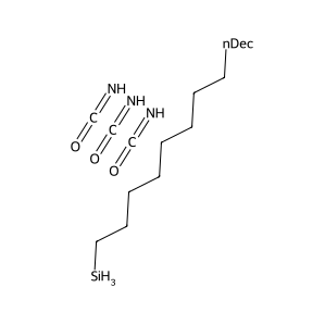 CCCCCCCCCCCCCCCCCC[SiH3].N=C=O.N=C=O.N=C=O